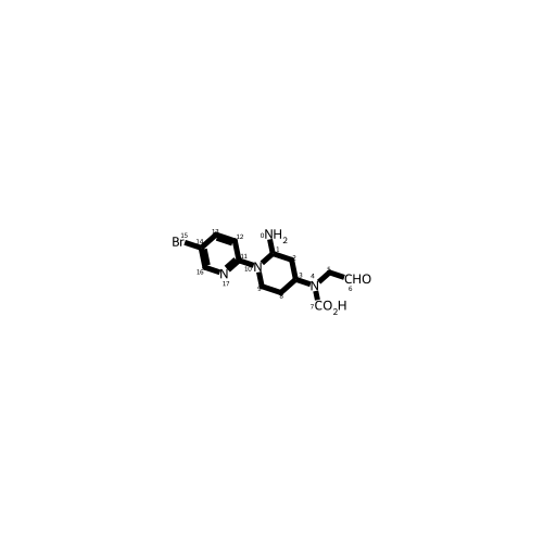 NC1CC(N(CC=O)C(=O)O)CCN1c1ccc(Br)cn1